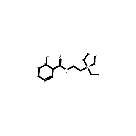 CC[N+](CC)(CC)CCOC(=O)C1C=CCCC1C